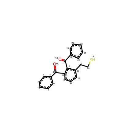 O=C(c1ccccc1)c1cccc(CCS)c1C(=O)c1ccccc1